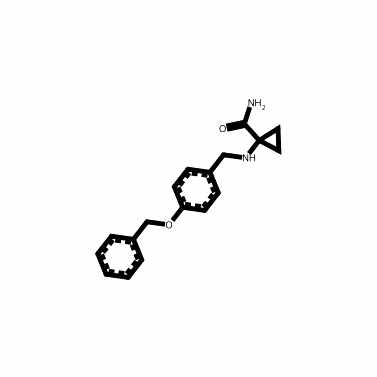 NC(=O)C1(NCc2ccc(OCc3ccccc3)cc2)CC1